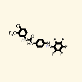 O=C(Nc1ccc(/N=N/c2c(F)c(F)c(F)c(F)c2F)cc1)Nc1ccc(Cl)c(C(F)(F)F)c1